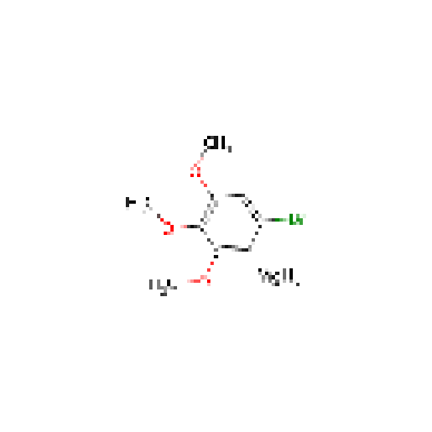 COc1cc(Br)cc(OC)c1OC.[MgH2]